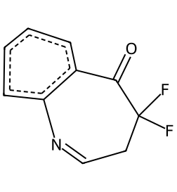 O=C1c2ccccc2N=CCC1(F)F